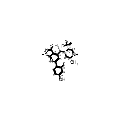 Cc1n[nH]c2nc(-c3ccc(O)cc3F)cc(CN3C[C@@H](C)NC[C@H]3C(F)(F)F)c12